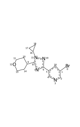 Brc1cncc(-c2nc(C3CCOCC3)n(C3CC3)n2)c1